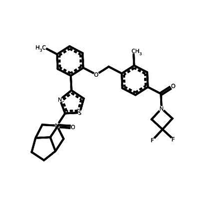 Cc1ccc(OCc2ccc(C(=O)N3CC(F)(F)C3)cc2C)c(-c2csc(N3CC4CCC(C3)C4C=O)n2)c1